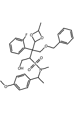 COc1ccc(C(C)N(C)S(=O)(=O)C(CO)C(COCc2ccccc2)(c2ccccc2F)C2OC(C)O2)cc1